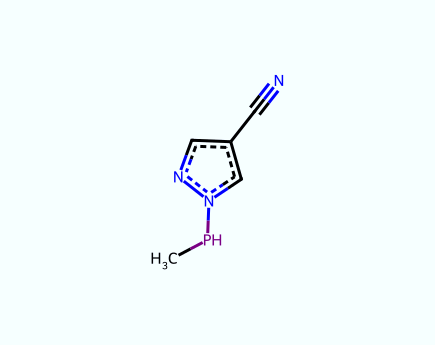 CPn1cc(C#N)cn1